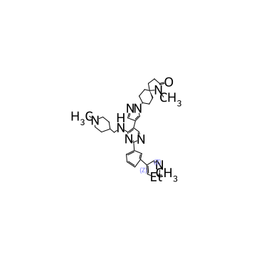 CC/C=C(\C=N/C)c1cccc(-c2ncc(-c3cnn([C@H]4CC[C@]5(CCC(=O)N5C)CC4)c3)c(NCC3CCN(C)CC3)n2)c1